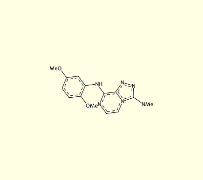 CNc1nnc2c(Nc3cc(OC)ccc3OC)nccn12